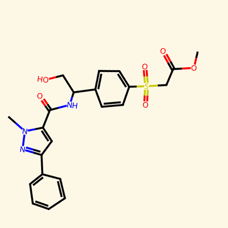 COC(=O)CS(=O)(=O)c1ccc(C(CO)NC(=O)c2cc(-c3ccccc3)nn2C)cc1